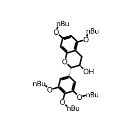 CCCCOc1cc(OCCCC)c2c(c1)O[C@@H](c1cc(OCCCC)c(OCCCC)c(OCCCC)c1)[C@H](O)C2